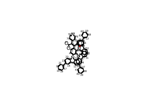 O=c1oc2cc(-n3c4ccccc4c4cc(-c5ccccc5)ccc43)c(-n3c4ccccc4c4cc(-c5ccccc5)ccc43)c(-n3c4ccccc4c4cc(-c5ccccc5)ccc43)c2c(-c2ccncc2)c1-c1ccncc1